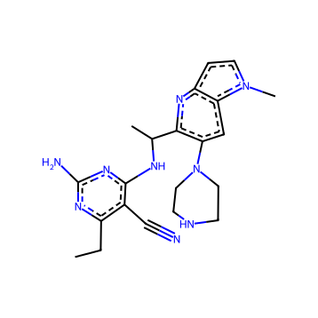 CCc1nc(N)nc(NC(C)c2nc3ccn(C)c3cc2N2CCNCC2)c1C#N